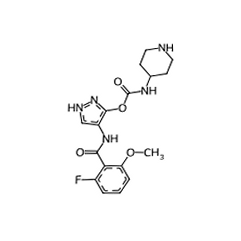 COc1cccc(F)c1C(=O)Nc1c[nH]nc1OC(=O)NC1CCNCC1